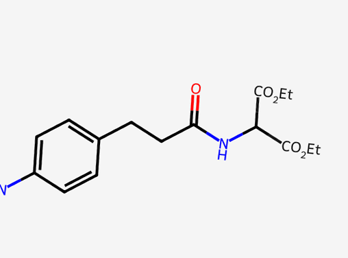 CCOC(=O)C(NC(=O)CCc1ccc(N)cc1)C(=O)OCC